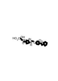 CC(C)C(COc1ccc(-c2cc3ccccc3o2)c(Cl)c1)Nc1ccc(C(=O)NCC(O)C(=O)O)cc1